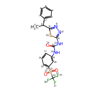 CC(c1ccccc1)c1nnc(NC(=O)Nc2cccc(S(=O)(=O)C(F)(F)F)c2)s1